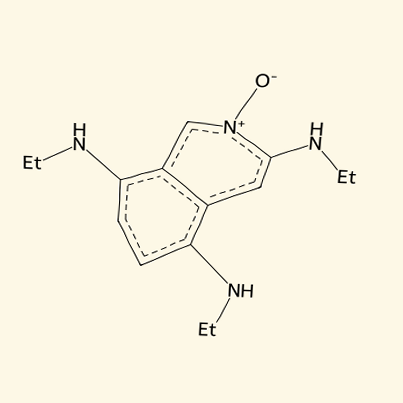 CCNc1ccc(NCC)c2c[n+]([O-])c(NCC)cc12